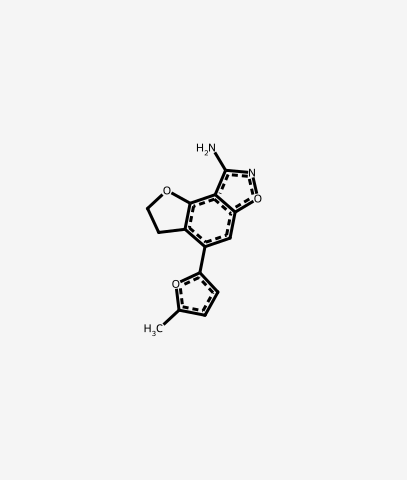 Cc1ccc(-c2cc3onc(N)c3c3c2CCO3)o1